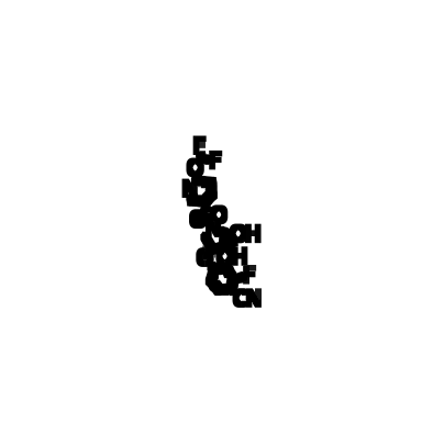 N#Cc1ccc(O[C@H]2CN(S(=O)(=O)c3ccc(OC(F)F)nc3)C[C@@]2(O)CO)cc1F